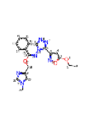 CCOc1cc(-c2nnc3c4ccccc4c(OCc4cn(C)cn4)nn23)no1